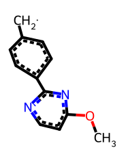 [CH2]c1ccc(-c2nccc(OC)n2)cc1